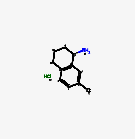 CCc1ccc2c(c1)[C@@H](N)CCC2.Cl